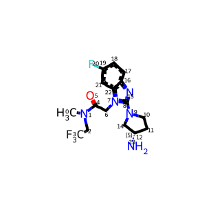 CN(CC(F)(F)F)C(=O)Cn1c(N2CC[C@H](N)C2)nc2ccc(F)cc21